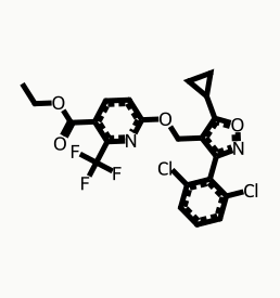 CCOC(=O)c1ccc(OCc2c(-c3c(Cl)cccc3Cl)noc2C2CC2)nc1C(F)(F)F